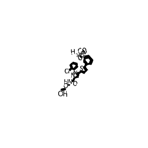 CS(=O)(=O)c1cccc(-c2ccc(-c3cc(C(=O)NCOCCO)nn3-c3ccccc3Cl)s2)c1